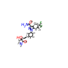 CN1CC[C@@](O)(C#Cc2cccc(-n3nc(C(N)=O)c4c3C[C@]3(C)C(C4)C3(F)F)c2)C1=O